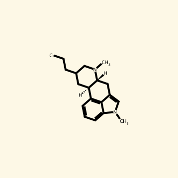 CN1CC(CCCl)C[C@@H]2c3cccc4c3c(cn4C)C[C@H]21